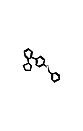 c1ccc(COc2ccc(-c3ccccc3C3CCCC3)cc2)cc1